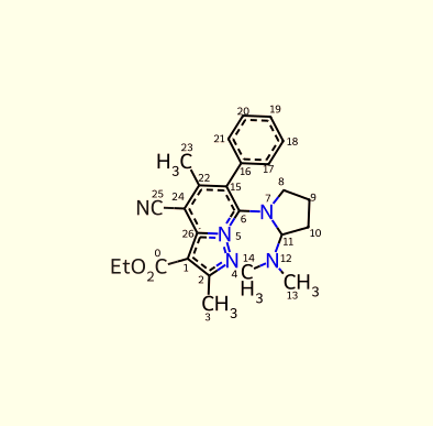 CCOC(=O)c1c(C)nn2c(N3CCCC3N(C)C)c(-c3ccccc3)c(C)c(C#N)c12